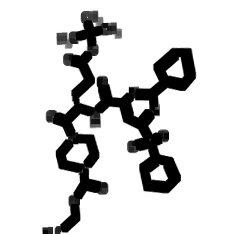 CCOC(=O)N1CCN(C(=O)[C@H](CCC(=O)OC(C)(C)C)NC(=O)c2cc(S(=O)(=O)c3ccccc3)nc(-c3ccccc3)n2)CC1